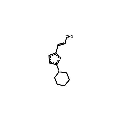 O=CC=Cc1ccc(N2CCCCC2)s1